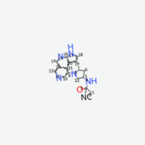 N#CCC(=O)NC1CCN(c2cncc3cnc4[nH]ccc4c23)C1